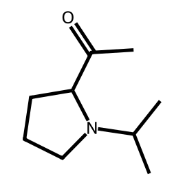 CC(=O)C1CCCN1C(C)C